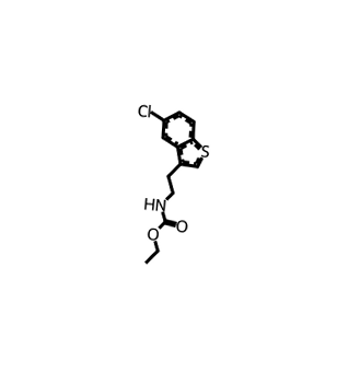 CCOC(=O)NCCc1csc2ccc(Cl)cc12